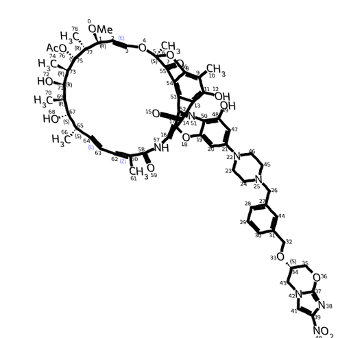 CO[C@H]1/C=C/O[C@@]2(C)Oc3c(C)c(O)c4c(=O)c(c5oc6cc(N7CCN(Cc8cccc(CO[C@@H]9COc%10nc([N+](=O)[O-])cn%10C9)c8)CC7)cc(O)c6nc-5c4c3C2=O)NC(=O)/C(C)=C\C=C\[C@H](C)[C@H](O)[C@@H](C)[C@@H](O)[C@@H](C)[C@H](OC(C)=O)[C@@H]1C